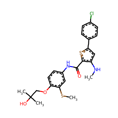 CNc1cc(-c2ccc(Cl)cc2)sc1C(=O)Nc1ccc(OCC(C)(C)O)c(SC)c1